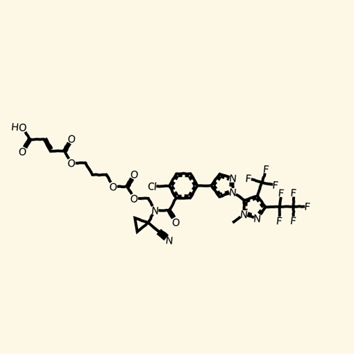 Cn1nc(C(F)(F)C(F)(F)F)c(C(F)(F)F)c1-n1cc(-c2ccc(Cl)c(C(=O)N(COC(=O)OCCCOC(=O)/C=C/C(=O)O)C3(C#N)CC3)c2)cn1